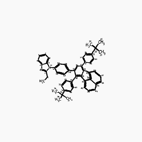 CCc1nc2ccccc2n1-c1ccc(-c2cc(-c3ccc(C(C)(C)C)cc3)c3c(c2-c2ccc(C(C)(C)C)cc2)-c2cccc4cccc-3c24)cc1